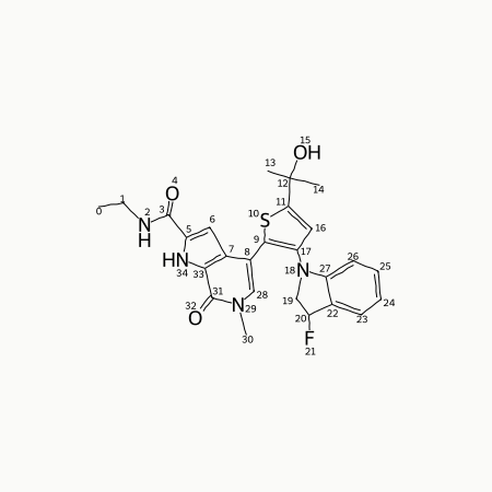 CCNC(=O)c1cc2c(-c3sc(C(C)(C)O)cc3N3CC(F)c4ccccc43)cn(C)c(=O)c2[nH]1